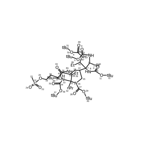 CCCC(NC(=O)OC(C)(C)C)C(NC(=O)OC(C)(C)C)(C(CCCCCCOS(C)(=O)=O)CN(C(=O)OC(C)(C)C)C(CCC)(NC(=O)OC(C)(C)C)C(CC)NC(=O)OC(C)(C)C)C(CC)NC(=O)OC(C)(C)C